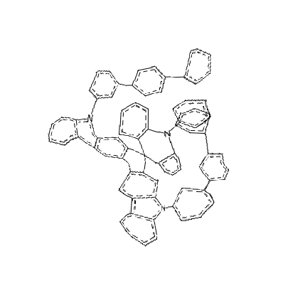 c1ccc(-c2ccc(-c3cccc(-n4c5ccccc5c5cc6c(cc54)C4(c5cc7c(cc5-6)c5ccccc5n7-c5cccc(-c6cccc(-c7ccccc7)c6)c5)c5ccccc5N(c5ccccc5)c5ccccc54)c3)cc2)cc1